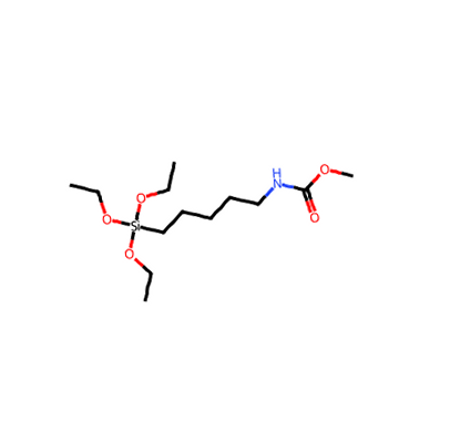 CCO[Si](CCCCCNC(=O)OC)(OCC)OCC